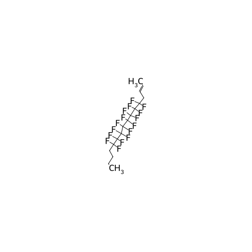 C/C=C/CC(F)(F)C(F)(F)C(F)(F)C(F)(F)C(F)(F)C(F)(F)C(F)(F)C(F)(F)CCCC